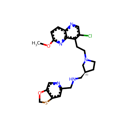 COc1ccc2ncc(Cl)c(CCN3CC[C@@H](CNCc4cc5c(cn4)OCS5)C3)c2n1